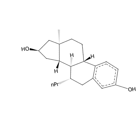 CCC[C@H]1Cc2cc(O)ccc2[C@H]2CC[C@]3(C)C[C@H](O)C[C@H]3[C@H]12